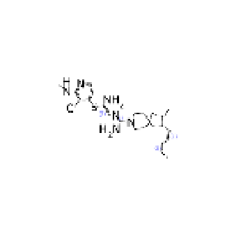 C/C=C\C=C/C1=C(C)CC2(CCN(/C(N)=N/C=C(\N)Sc3ccnc(NC)c3Cl)CC2)C1